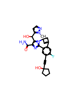 Cn1nccc1C(O)c1c(C(N)=O)nc2n1C1C=C(C1)c1cc(F)c(C#CC3(O)CCCC3)cc1-2